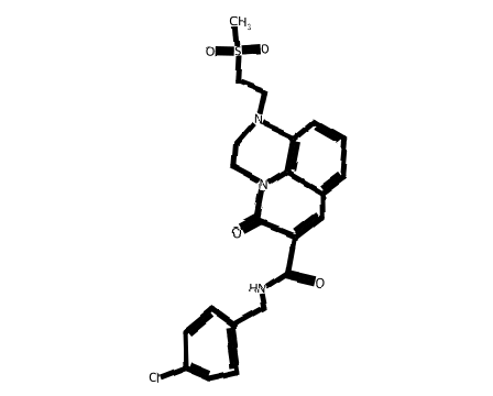 CS(=O)(=O)CCN1CCn2c(=O)c(C(=O)NCc3ccc(Cl)cc3)cc3cccc1c32